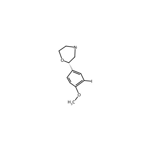 COc1ccc([C@H]2C[N]CCO2)cc1I